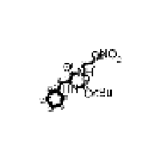 CC(C)(C)OC(=O)N[C@@H](Cc1ccccc1)C(=O)NCCO[N+](=O)[O-]